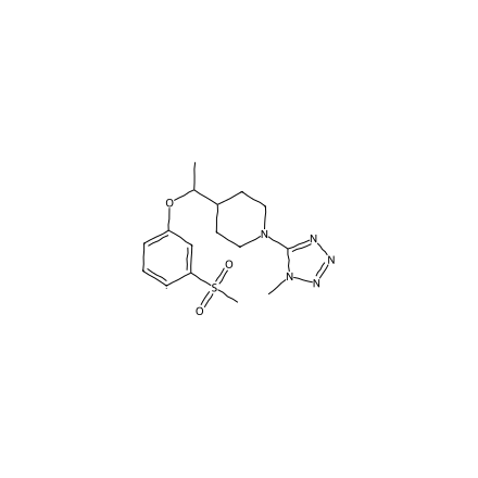 CC(Oc1cc[c]c(S(C)(=O)=O)c1)C1CCN(c2nnnn2C)CC1